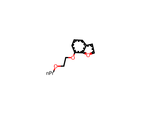 CCCOCCOc1cccc2ccoc12